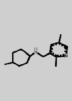 Cc1cnc(C)c(CNC2CCC(C)CC2)c1